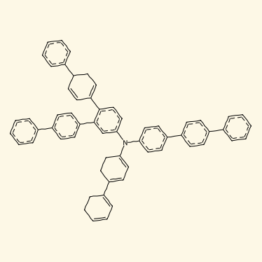 C1=CCCC(C2=CC=C(N(c3ccc(-c4ccc(-c5ccccc5)cc4)cc3)c3ccc(C4=CCC(c5ccccc5)C=C4)c(-c4ccc(-c5ccccc5)cc4)c3)CC2)=C1